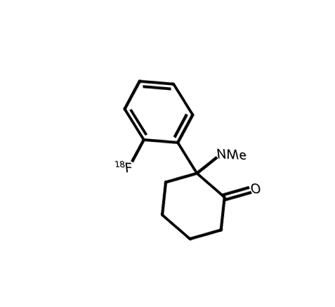 CNC1(c2ccccc2[18F])CCCCC1=O